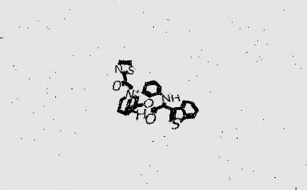 O=C(C[N+]12CCC(CC1)[C@@H](OC(=O)C(Nc1ccccc1)c1csc3ccccc13)C2)c1nccs1